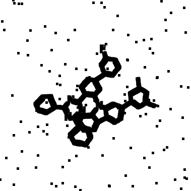 Cc1cc(C)cc(-c2ccc3c4ccccc4n(-c4cc(-c5cccc(F)c5)ccc4-c4nc(-c5ccccc5)nc(-c5ccccc5)n4)c3c2)c1